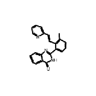 Cc1cccc(-c2nc3ccccc3c(=O)[nH]2)c1C=Cc1ccccn1